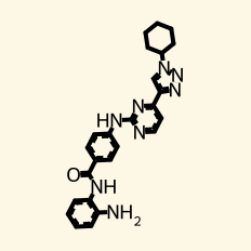 Nc1ccccc1NC(=O)c1ccc(Nc2nccc(-c3cn(C4CCCCC4)nn3)n2)cc1